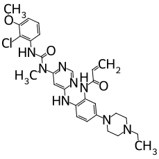 C=CC(=O)Nc1cc(N2CCN(CC)CC2)ccc1Nc1cc(N(C)C(=O)Nc2cccc(OC)c2Cl)ncn1